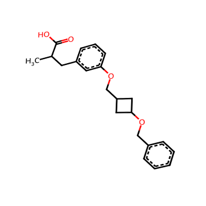 CC(Cc1cccc(OCC2CC(OCc3ccccc3)C2)c1)C(=O)O